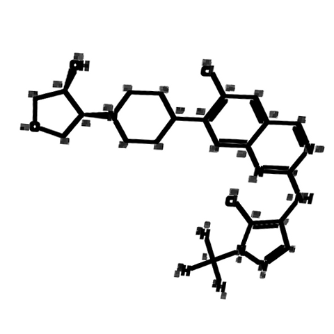 [2H]C([2H])([2H])n1ncc(Nc2ncc3cc(Cl)c(C4CCN([C@H]5COC[C@H]5O)CC4)cc3n2)c1Cl